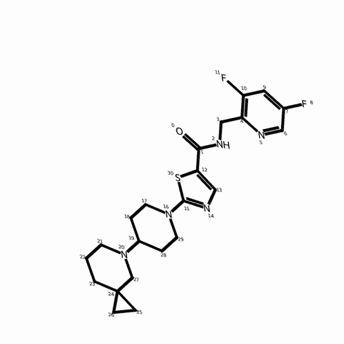 O=C(NCc1ncc(F)cc1F)c1cnc(N2CCC(N3CCCC4(CC4)C3)CC2)s1